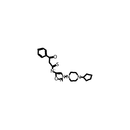 O=C(CC(=S)[N-]c1c[n+](N2CCN(C3CCCC3)CC2)no1)c1ccccc1